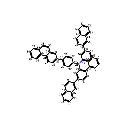 c1ccc(-c2ccc(-c3ccc4ccccc4c3)cc2N(c2ccc(-c3ccc4c(ccc5ccccc54)c3)cc2)c2cccc(-c3ccc4ccccc4c3)c2)cc1